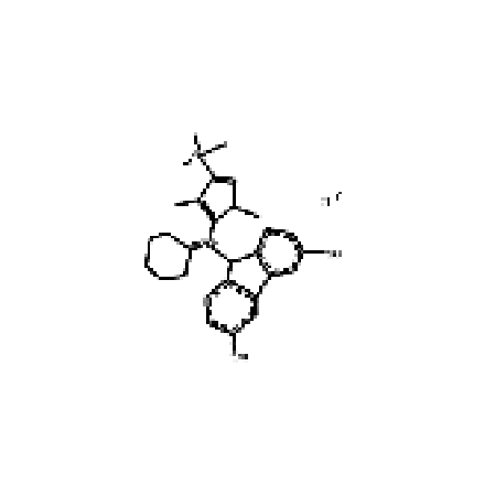 CC1=[C]([Zr+2](=[C]2CCCCC2)[CH]2c3ccc(C(C)(C)C)cc3-c3cc(C(C)(C)C)ccc32)C(C)C=C1[Si](C)(C)C.[Cl-].[Cl-]